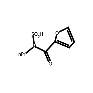 CCCN(C(=O)c1ccco1)S(=O)(=O)O